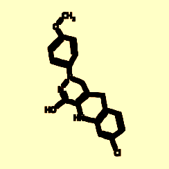 COc1ccc(N2CC3=C(Nc4cc(Cl)ccc4C3)C(O)=N2)cc1